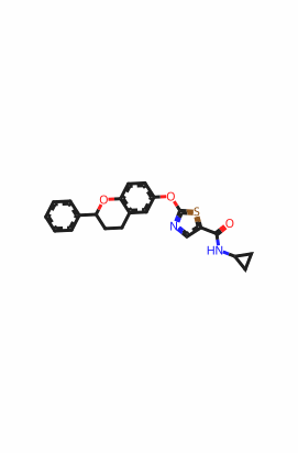 O=C(NC1CC1)c1cnc(Oc2ccc3c(c2)CCC(c2ccccc2)O3)s1